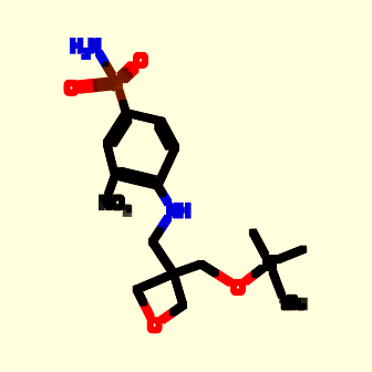 CC(C)(C)[Si](C)(C)OCC1(CNc2ccc(S(N)(=O)=O)cc2[N+](=O)[O-])COC1